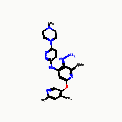 CNc1nc(Oc2cnc(C#N)cc2C)cc(Nc2ccc(N3CCN(C)CC3)nn2)c1NN